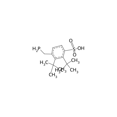 CC(C)(C)c1c(CP)ccc(S(=O)(=O)O)c1C(C)(C)C